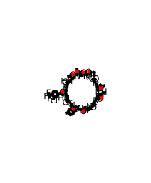 CC[C@H](C)[C@@H]1NC(=O)[C@H](CC(C)C)N(C)C(=O)C[C@@H](C(=O)N(C)C)N(C)C(=O)[C@H]([C@@H](C)CC)N(C)C(=O)[C@H](C(C)C)NC(=O)[C@H](C)N(C)C(=O)[C@H](CCc2ccc(C(F)(F)F)c(Cl)c2)NC(=O)CN(C)C(=O)[C@H](Cc2ccc(C)cc2)N(C)C(=O)[C@@H]2CCN2C(=O)[C@H](C)N(C)C1=O